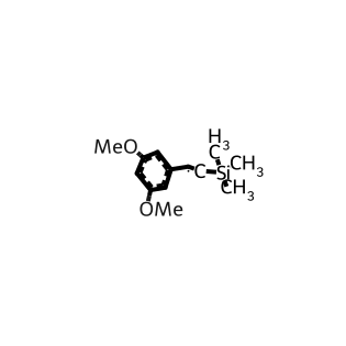 COc1cc([CH]C[Si](C)(C)C)cc(OC)c1